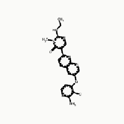 CCNc1ncc(-c2ccc3cc(Oc4ccnc(N)c4Cl)cnc3n2)c(=O)n1C